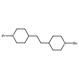 CC(C)N1CCC(CCC2CCN(C(C)(C)C)CC2)CC1